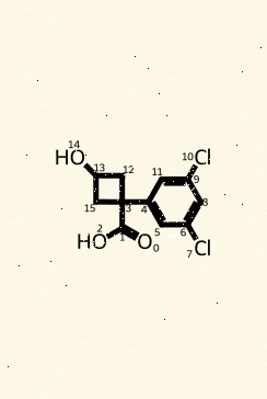 O=C(O)C1(c2cc(Cl)cc(Cl)c2)CC(O)C1